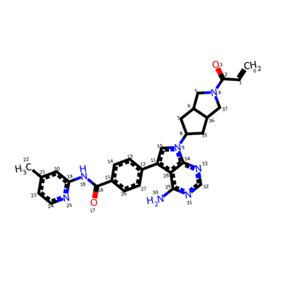 C=CC(=O)N1CC2CC(n3cc(-c4ccc(C(=O)Nc5cc(C)ccn5)cc4)c4c(N)ncnc43)CC2C1